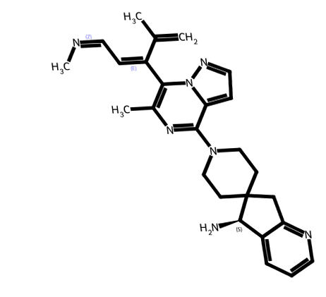 C=C(C)/C(=C\C=N/C)c1c(C)nc(N2CCC3(CC2)Cc2ncccc2[C@H]3N)c2ccnn12